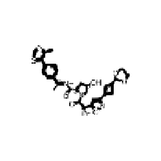 Cc1ncsc1-c1ccc([C@H](C)NC(=O)[C@@H]2C[C@@H](O)CN2C(=O)C(c2cc(C34CC(C5OCCO5)(C3)C4)no2)C(C)C)cc1